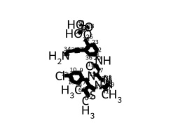 Cc1sc2c(c1C)C(c1ccc(Cl)cc1)=N[C@@H](CC(=O)Nc1ccc(COP(=O)(O)O)c(C#CCN)c1)c1nnc(C)n1-2